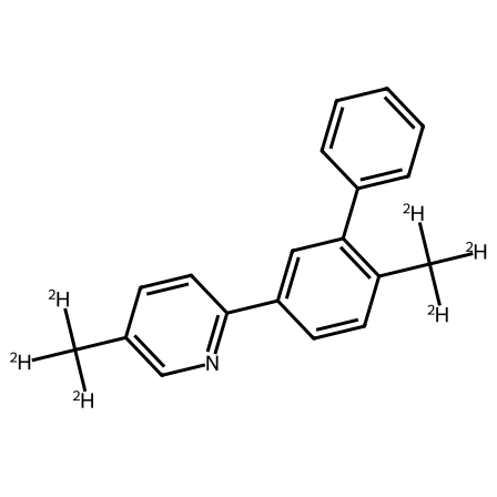 [2H]C([2H])([2H])c1ccc(-c2ccc(C([2H])([2H])[2H])c(-c3ccccc3)c2)nc1